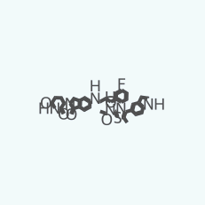 CC(=O)NC1SC(C)=C(c2ccc3c(c2)CCN3)N1c1ccc(F)cc1OCCNc1ccc2c(c1)CN(C1CCC(=O)NC1=O)C2=O